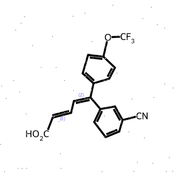 N#Cc1cccc(/C(=C\C=C\C(=O)O)c2ccc(OC(F)(F)F)cc2)c1